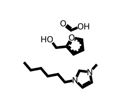 CCCCCCN1C=CN(C)C1.O=CO.OCc1ccco1